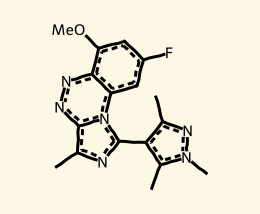 COc1cc(F)cc2c1nnc1c(C)nc(-c3c(C)nn(C)c3C)n12